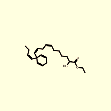 CC/C=C\C1(/C=C\C/C=C\CCCCC(O)C(=O)OCC)C=CCC=C1